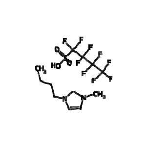 CCCCN1C=CN(C)C1.O=S(=O)(O)C(F)(F)C(F)(F)C(F)(F)C(F)(F)F